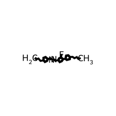 C=CCCc1ccc(C=NN=Cc2ccc(-c3ccc(CCCCC)cc3)c(F)c2)cc1